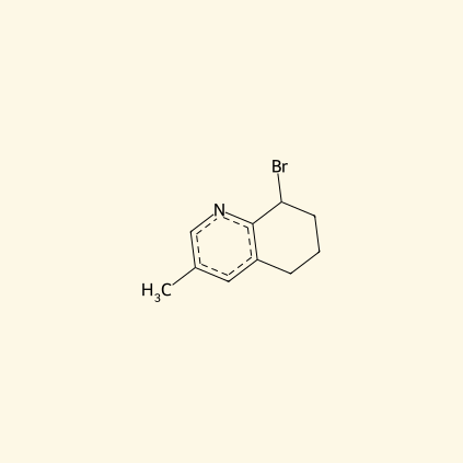 Cc1cnc2c(c1)CCCC2Br